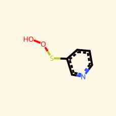 OOSc1cccnc1